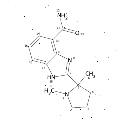 CN1CCCC1(C)c1nc2c(C(N)=O)cccc2[nH]1